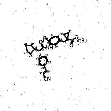 CC(C)(C)OC(=O)C1(Cc2ccc(F)c(NC(=O)[C@H](c3ccc(C=CC#N)cc3)C3CCCC3)c2)CC1